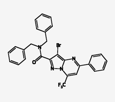 O=C(c1nn2c(C(F)(F)F)cc(-c3ccccc3)nc2c1Br)N(Cc1ccccc1)Cc1ccccc1